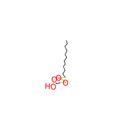 CCCCCCCCCCCCS(=O)(=O)CC(=O)O